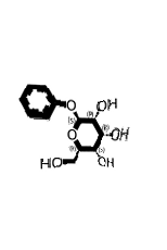 OC[C@H]1O[C@@H](Oc2ccccc2)[C@H](O)[C@H](O)[C@@H]1O